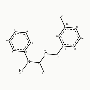 CCN(c1ccccc1)C(C)OCc1cccc(C)c1